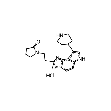 Cl.O=C1CCCN1CCc1nc2c(ccc3[nH]cc(C4CCNCC4)c32)o1